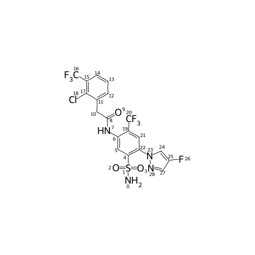 NS(=O)(=O)c1cc(NC(=O)Cc2cccc(C(F)(F)F)c2Cl)c(C(F)(F)F)cc1-n1cc(F)cn1